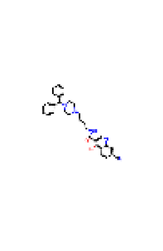 N#Cc1ccc2c(O)c(C(=O)NCCCCN3CCN(C(c4ccccc4)c4ccccc4)CC3)cnc2c1